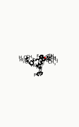 CC(C)[Si](Oc1cc(-c2ncc3c(O)nc(OC[C@@]45CCCN4C[C@H](F)C5)nc3c2F)c2c(CCCOC3CCCCN(C(=O)OC(C)(C)C)C3)c(F)ccc2c1)(C(C)C)C(C)C